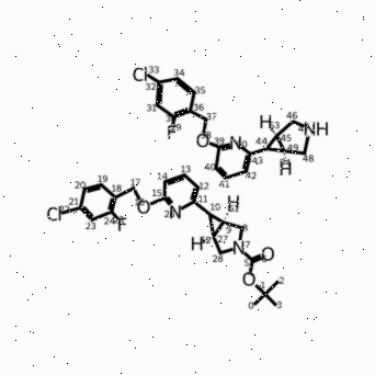 CC(C)(C)OC(=O)N1C[C@@H]2C(c3cccc(OCc4ccc(Cl)cc4F)n3)[C@@H]2C1.Fc1cc(Cl)ccc1COc1cccc(C2[C@H]3CNC[C@@H]23)n1